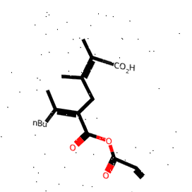 C=CC(=O)OC(=O)C(CC(C)=C(C)C(=O)O)=C(C)CCCC